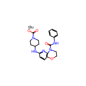 CC(C)(C)OC(=O)N1CCC(Nc2ccc3c(n2)N(C(=O)Nc2ccccc2)CCO3)CC1